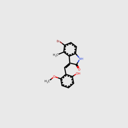 COc1cccc(O)c1C=C1C(=O)Nc2ccc(Br)c(C)c21